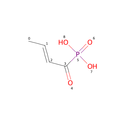 C/C=C/C(=O)P(=O)(O)O